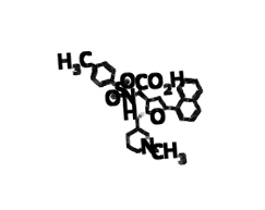 Cc1ccc(S(=O)(=O)NC(C(=O)O)[C@H]2CC(c3cccc4ccccc34)O[C@@H]2CC2CCCN(C)C2)cc1